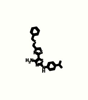 CC(C)c1ccc(Nc2nc(N)c(-c3nc(CSCc4ccccc4)cs3)s2)cc1